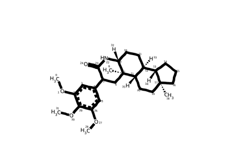 COc1cc(C2C[C@@]3(C)[C@@H](CC[C@H]4[C@@H]5CCC[C@@]5(C)CC[C@@H]43)NC2=O)cc(OC)c1OC